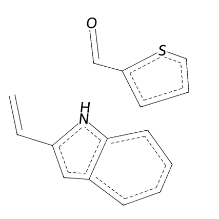 C=Cc1cc2ccccc2[nH]1.O=Cc1cccs1